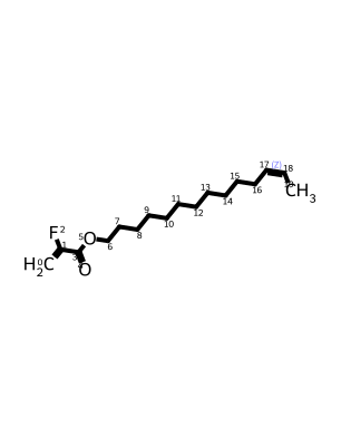 C=C(F)C(=O)OCCCCCCCCCCC/C=C\C